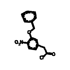 O=C(Cl)Cc1ccc([N+](=O)[O-])c(OCc2ccccc2)c1